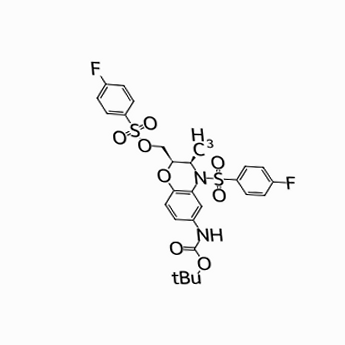 C[C@@H]1[C@H](COS(=O)(=O)c2ccc(F)cc2)Oc2ccc(NC(=O)OC(C)(C)C)cc2N1S(=O)(=O)c1ccc(F)cc1